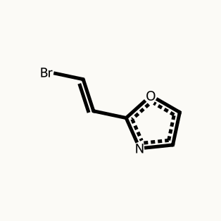 BrC=Cc1ncco1